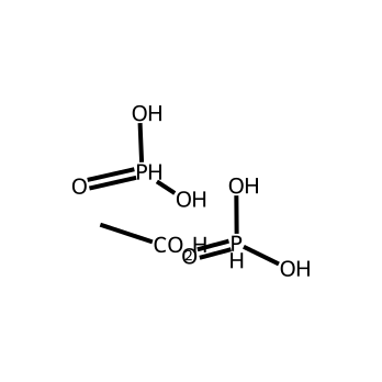 CC(=O)O.O=[PH](O)O.O=[PH](O)O